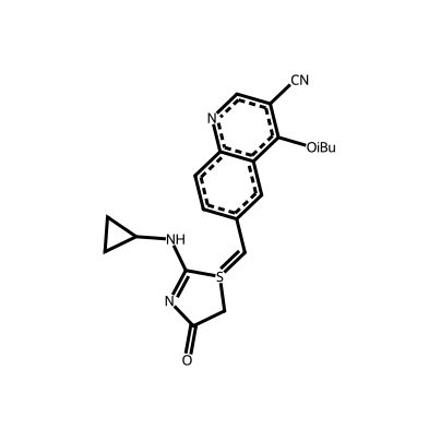 CC(C)COc1c(C#N)cnc2ccc(/C=S3/CC(=O)N=C3NC3CC3)cc12